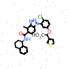 Cc1c(C(=O)NC2CCCc3ccccc32)ccc2c1nnn2-c1cc(OC(C(=O)O)c2ccsc2)ccc1Cl